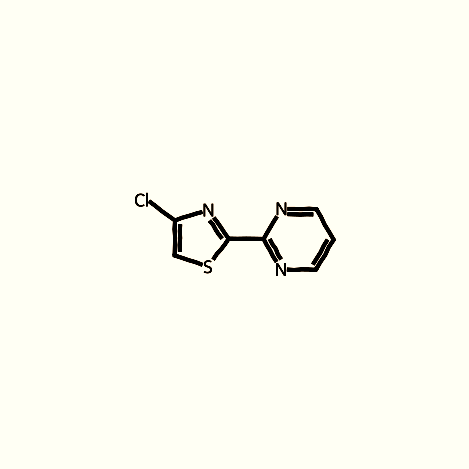 Clc1csc(-c2ncccn2)n1